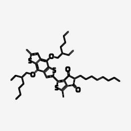 CCCCCCCCC1C(=O)c2c(C)sc(-c3cc4c(OCC(CC)CCCC)c5sc(C)cc5c(OCC(CC)CCCC)c4s3)c2C1=O